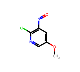 COc1cnc(Cl)c(N=O)c1